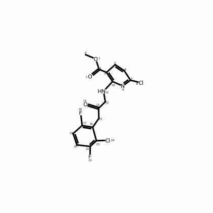 COC(=O)c1ccc(Cl)nc1NCC(=O)Cc1c(F)ccc(F)c1Cl